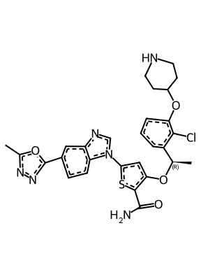 Cc1nnc(-c2ccc3c(c2)ncn3-c2cc(O[C@H](C)c3cccc(OC4CCNCC4)c3Cl)c(C(N)=O)s2)o1